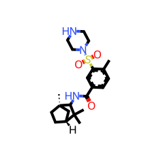 Cc1ccc(C(=O)NC2C(C)(C)[C@@H]3CC[C@]2(C)C3)cc1S(=O)(=O)N1CCNCC1